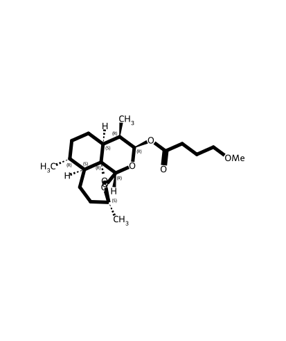 COCCCC(=O)O[C@H]1O[C@@H]2O[C@]3(C)CC[C@H]4[C@H](C)CC[C@@H]([C@H]1C)[C@@]24OO3